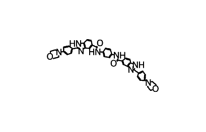 O=C(Nc1ccc(NC(=O)c2ccc3[nH]c(-c4ccc(N5CCOCC5)cc4)nc3c2)cc1)c1ccc2[nH]c(-c3ccc(N4CCOCC4)cc3)nc2c1